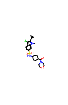 Cn1c(C2CC2)c(Cl)c2ccc(S(=O)(=O)NC3CCC(C(=O)N4CCOCC4)CC3)cc21